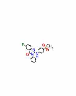 CS(=O)(=O)c1ccc(Nc2nc3ccc(F)cc3c(=O)n2-c2ccccc2)cc1